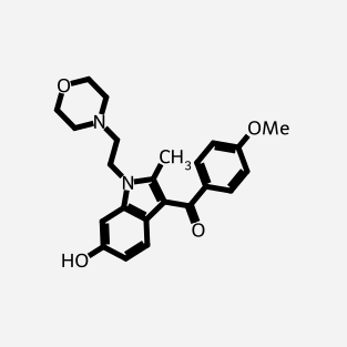 COc1ccc(C(=O)c2c(C)n(CCN3CCOCC3)c3cc(O)ccc23)cc1